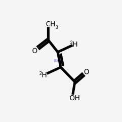 [2H]/C(C(C)=O)=C(/[2H])C(=O)O